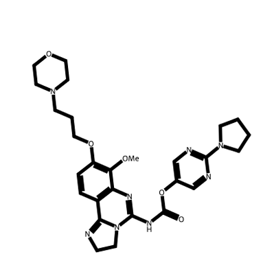 COc1c(OCCCN2CCOCC2)ccc2c1N=C(NC(=O)Oc1cnc(N3CCCC3)nc1)N1CCN=C21